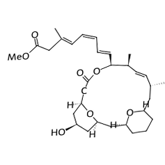 COC(=O)C/C(C)=C/C=C\C=C\[C@@H]1OC(=O)C[C@@H]2C[C@H](O)C[C@H](C[C@@H]3CCC[C@H](C[C@@H](C)/C=C/[C@@H]1C)O3)O2